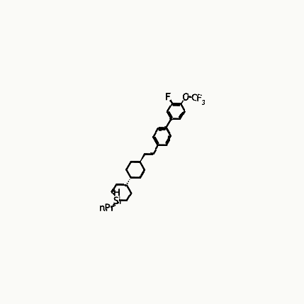 CCC[SiH]1CCC([C@H]2CC[C@H](CCc3ccc(-c4ccc(OC(F)(F)F)c(F)c4)cc3)CC2)CC1